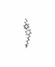 CCCc1ccc([C@H]2CC[C@H](CC=CCCCF)CC2)cc1